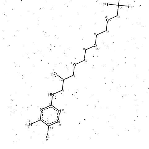 Nc1nc(NCC(O)COCCOCCOCC(F)(F)F)nnc1Cl